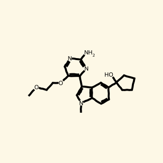 COCCOc1cnc(N)nc1-c1cn(C)c2ccc(C3(O)CCCC3)cc12